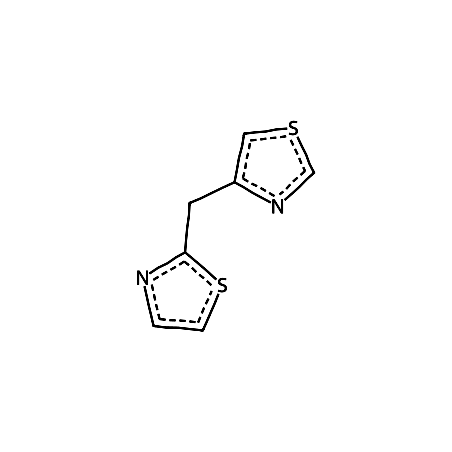 c1csc(Cc2cscn2)n1